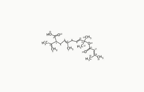 C=C(C)C(C/C=C(\C)C/C=C/C(C)(C)OC(=O)C=C(C)C)C(=O)O